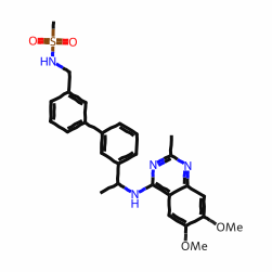 COc1cc2nc(C)nc(NC(C)c3cccc(-c4cccc(CNS(C)(=O)=O)c4)c3)c2cc1OC